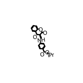 CC(C)OC(=O)c1ccc(NC=C2C(=O)Oc3ccccc3C2=O)cc1